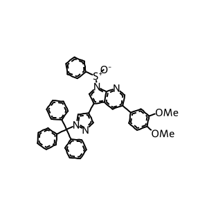 COc1ccc(-c2cnc3c(c2)c(-c2cnn(C(c4ccccc4)(c4ccccc4)c4ccccc4)c2)cn3[S+]([O-])c2ccccc2)cc1OC